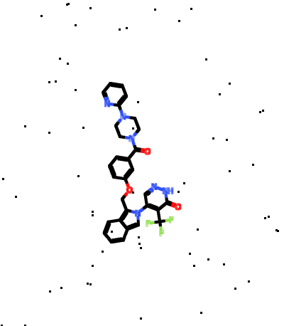 O=C(c1cccc(OCc2c3ccccc3cn2-c2cn[nH]c(=O)c2C(F)(F)F)c1)N1CCN(c2ccccn2)CC1